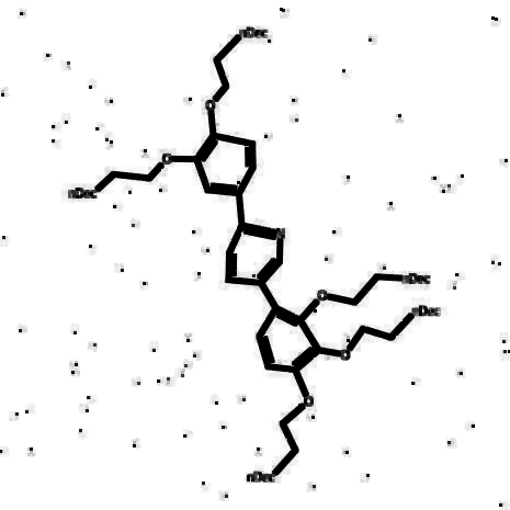 CCCCCCCCCCCCOc1ccc(-c2ccc(-c3ccc(OCCCCCCCCCCCC)c(OCCCCCCCCCCCC)c3OCCCCCCCCCCCC)cn2)cc1OCCCCCCCCCCCC